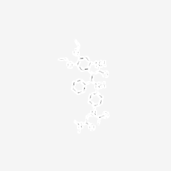 CCOc1cc2c(cc1OCC)/C(=C(/Nc1ccc(N(CC(=O)N(C)C)C(C)=O)cc1)c1ccccc1)C(=O)N2